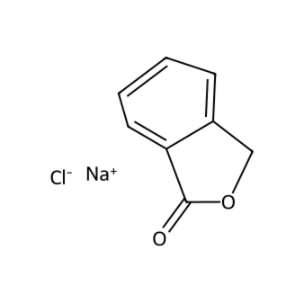 O=C1OCc2ccccc21.[Cl-].[Na+]